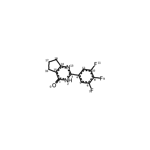 O=c1[nH]c(-c2cc(F)c(F)c(F)c2)nc2c1CCC2